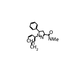 C=C/C=C(\C=C/C)N1N=C(C(=O)NC)CC1c1ccccc1